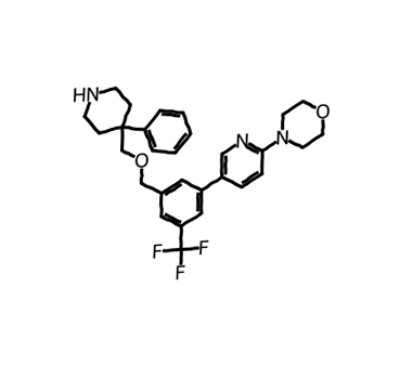 FC(F)(F)c1cc(COCC2(c3ccccc3)CCNCC2)cc(-c2ccc(N3CCOCC3)nc2)c1